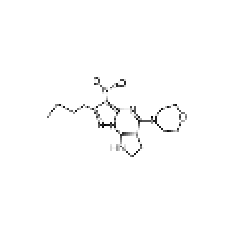 CCCCc1nn2c3c(c(N4CCOCC4)nc2c1[N+](=O)[O-])CCN3